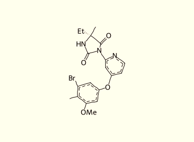 CC[C@@]1(C)NC(=O)N(c2cc(Oc3cc(Br)c(C)c(OC)c3)ccn2)C1=O